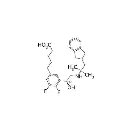 CC(C)(CC1Cc2ccccc2C1)NC[C@@H](O)c1cc(CCCCC(=O)O)cc(F)c1F